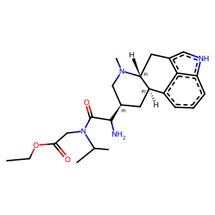 CCOC(=O)CN(C(=O)C(N)[C@@H]1C[C@@H]2c3cccc4[nH]cc(c34)C[C@H]2N(C)C1)C(C)C